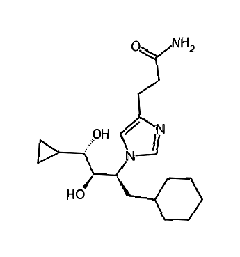 NC(=O)CCc1cn([C@@H](CC2CCCCC2)[C@@H](O)[C@@H](O)C2CC2)cn1